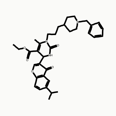 CCOC(=O)C1=C(C)N(CCCC2CCN(Cc3ccccc3)CC2)C(=O)NC1c1coc2ccc(C(C)C)cc2c1=O